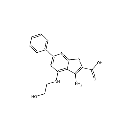 Nc1c(C(=O)O)sc2nc(-c3ccccc3)nc(NCCO)c12